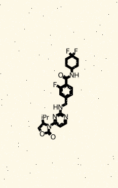 CC(C)C1COC(=O)N1c1ccnc(NCc2ccc(C(=O)NC3CCC(F)(F)CC3)c(F)c2)n1